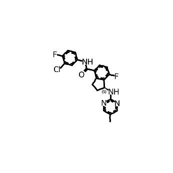 Cc1cnc(N[C@H]2CCc3c(C(=O)Nc4ccc(F)c(Cl)c4)ccc(F)c32)nc1